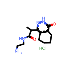 CC(C(=O)NCCN)c1n[nH]c(=O)c2c1CCCC2.Cl